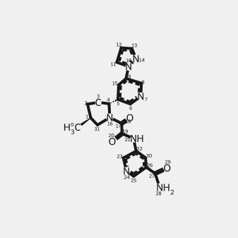 C[C@H]1CC[C@H](c2cncc(-n3cccn3)c2)N(C(=O)C(=O)Nc2cncc(C(N)=O)c2)C1